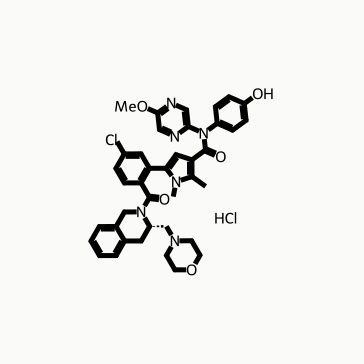 COc1cnc(N(C(=O)c2cc(-c3cc(Cl)ccc3C(=O)N3Cc4ccccc4C[C@H]3CN3CCOCC3)n(C)c2C)c2ccc(O)cc2)cn1.Cl